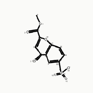 COC(=O)c1cc(=O)c2cc(S(=O)(=O)Cl)ccc2o1